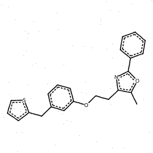 Cc1oc(-c2ccccc2)nc1CCOc1cccc(Cc2cccs2)c1